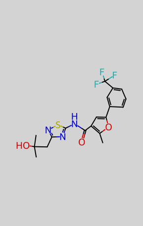 Cc1oc(-c2cccc(C(F)(F)F)c2)cc1C(=O)Nc1nc(CC(C)(C)O)ns1